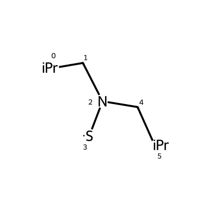 CC(C)CN([S])CC(C)C